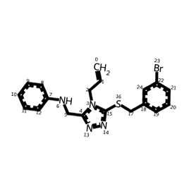 C=CCn1c(CNc2ccccc2)nnc1SCc1cccc(Br)c1